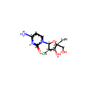 CCC[C@]1(CO)OC(n2ccc(N)nc2=O)[C@H](Cl)[C@@H]1O